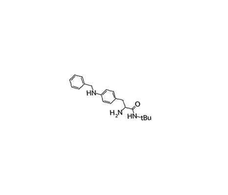 CC(C)(C)NC(=O)C(N)Cc1ccc(NCc2ccccc2)cc1